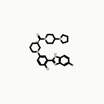 O=C([C@@H]1CCCN(c2ccc(Cl)c(-c3nc4cc(F)ccc4[nH]3)c2)C1)N1CCC(N2CCCC2)CC1